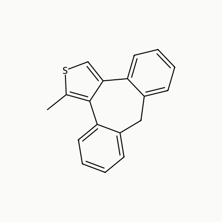 Cc1scc2c1-c1ccccc1Cc1ccccc1-2